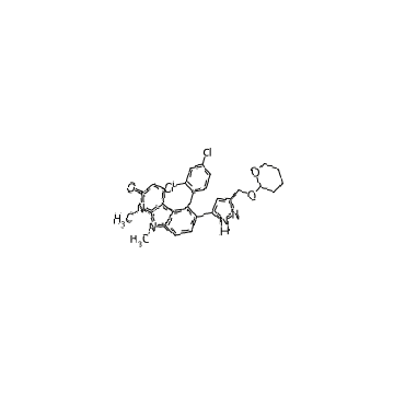 Cn1c(=O)ccc2c3c(-c4ccc(Cl)cc4Cl)c(-c4cc(COC5CCCCO5)n[nH]4)ccc3n(C)c21